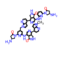 Cn1ccc2c(-c3ncc(Nc4cc(Cn5ccc6c(-c7ncc(Nc8cccc(N9C[C@H](N)CC9=O)n8)c8c7CNC8=O)ccnc65)cc(N5C[C@@H](N)CC5=O)n4)c4c3CNC4=O)ccnc21